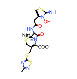 Cc1nsc(SCC2=C(C(=O)[O-])N3C(=O)C(NC(=O)Cc4csc(=N)n4O)[C@H]3SC2)n1.[Na+]